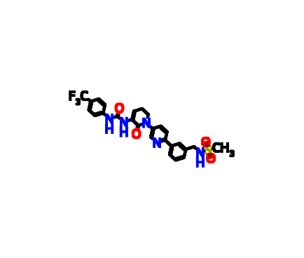 CS(=O)(=O)NCc1cccc(-c2ccc(N3CCC=C(NC(=O)Nc4ccc(C(F)(F)F)cc4)C3=O)cn2)c1